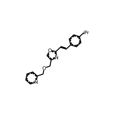 CC(C)c1ccc(C=Cc2nc(COCc3ccccn3)co2)cc1